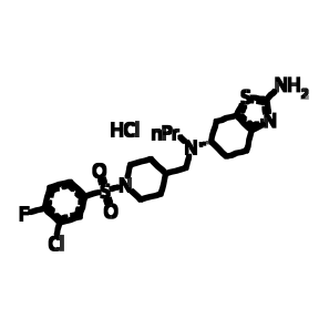 CCCN(CC1CCN(S(=O)(=O)c2ccc(F)c(Cl)c2)CC1)[C@H]1CCc2nc(N)sc2C1.Cl